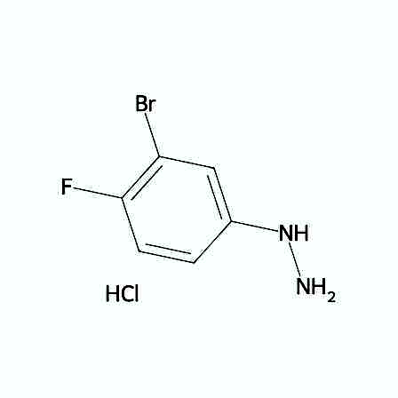 Cl.NNc1ccc(F)c(Br)c1